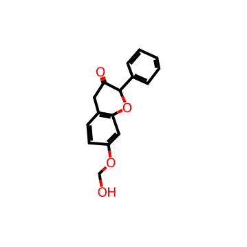 O=C1Cc2ccc(OCO)cc2OC1c1ccccc1